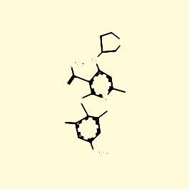 COC(=O)c1c(NC2CCOC2)cc(C)nc1Oc1c(C)cc(OC)cc1C